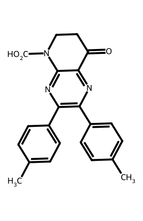 Cc1ccc(-c2nc3c(nc2-c2ccc(C)cc2)N(C(=O)O)CCC3=O)cc1